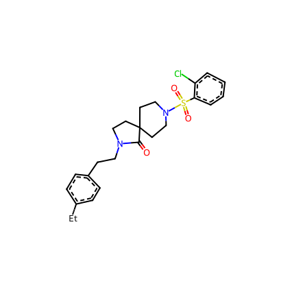 CCc1ccc(CCN2CCC3(CCN(S(=O)(=O)c4ccccc4Cl)CC3)C2=O)cc1